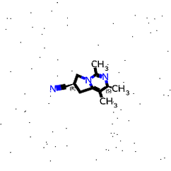 CC1=N[C@@H](C)C(C)=C2C[C@@H](C#N)CN12